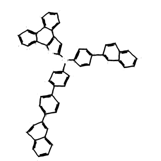 c1ccc2cc(-c3ccc(-c4ccc(N(c5ccc(-c6ccc7ccccc7c6)cc5)c5cc6c7ccccc7c7ccccc7c6o5)cc4)cc3)ccc2c1